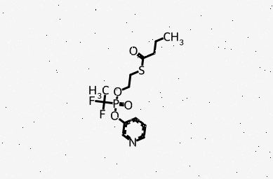 CCCC(=O)SCCOP(=O)(Oc1cccnc1)C(C)(F)F